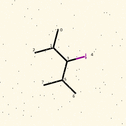 CC(C)C(I)C(C)C